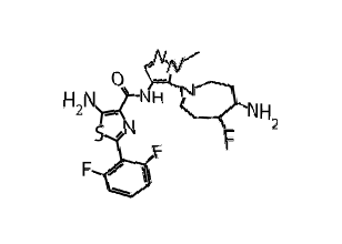 Cn1ncc(NC(=O)c2nc(-c3c(F)cccc3F)sc2N)c1N1CCC(N)C(F)CC1